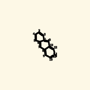 [c]1c2ccccc2cc2ccncc12